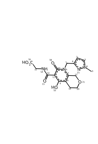 Cn1ccc(Cn2c3c(c(O)c(C(=O)NCC(=O)O)c2=O)CCOC3)n1